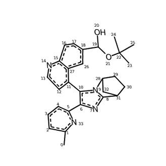 Cc1cccc(-c2nc3n(c2-c2ccnc4ccc(C(O)OC(C)(C)C)cc24)C2CCC3C2)n1